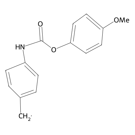 [CH2]c1ccc(NC(=O)Oc2ccc(OC)cc2)cc1